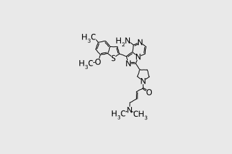 COc1cc(C)cc2cc(-c3nc(C4CCN(C(=O)C=CCN(C)C)C4)n4ccnc(N)c34)sc12